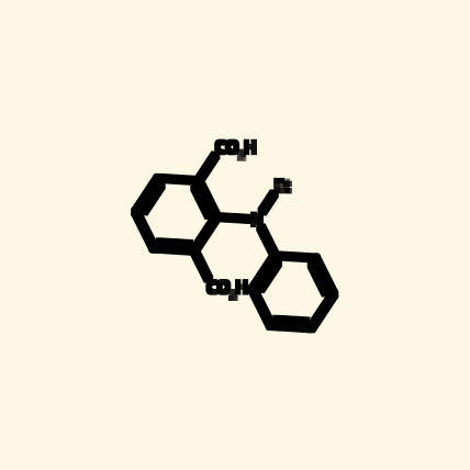 CCN(c1ccccc1)c1c(C(=O)O)cccc1C(=O)O